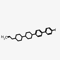 C=CCC1CCC(C2CCC(c3ccc(-c4ccc(I)cc4)cc3)CC2)CC1